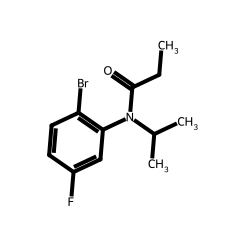 CCC(=O)N(c1cc(F)ccc1Br)C(C)C